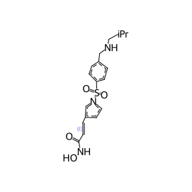 CC(C)CNCc1ccc(S(=O)(=O)n2ccc(/C=C/C(=O)NO)c2)cc1